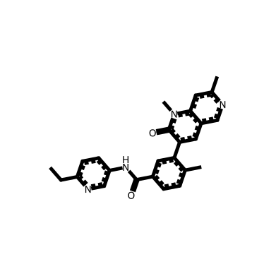 CCc1ccc(NC(=O)c2ccc(C)c(-c3cc4cnc(C)cc4n(C)c3=O)c2)cn1